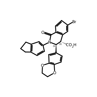 O=C(O)[C@H]1c2cc(Br)ccc2C(=O)N(c2ccc3c(c2)CCC3)[C@@H]1c1ccc2c(c1)OCCO2